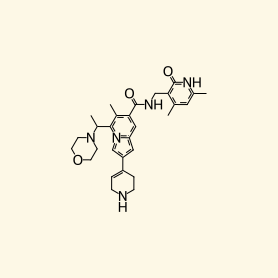 Cc1cc(C)c(CNC(=O)c2cc3cc(C4=CCNCC4)cn3c(C(C)N3CCOCC3)c2C)c(=O)[nH]1